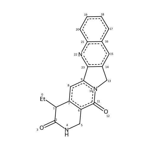 CCC1C(=O)NCc2c1cc1n(c2=O)Cc2cc3ccccc3nc2-1